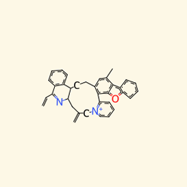 C=CC1=NC2CC(=C)C[n+]3ccccc3-c3c(cc(C)c4c3oc3ccccc34)CCC2c2ccccc21